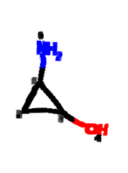 NC1CC1O